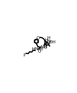 CC(C)C[C@H]1C(=O)N[C@H](C(=O)NCCCCCCF)Cc2ccc(cc2)OCCC[C@@H]1C(=O)NO